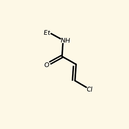 CCNC(=O)/C=C/Cl